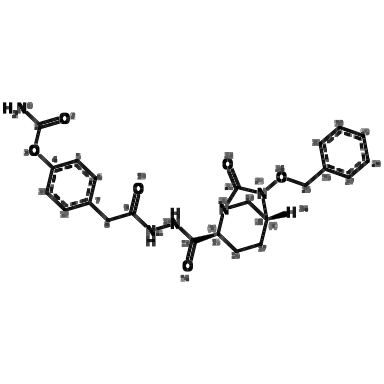 NC(=O)Oc1ccc(CC(=O)NNC(=O)[C@@H]2CC[C@@H]3CN2C(=O)N3OCc2ccccc2)cc1